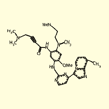 CNCCN(C)c1cc(OC)c(Nc2nccc(-c3cnc4c(C)cccn34)n2)cc1NC(=O)C#CCN(C)C